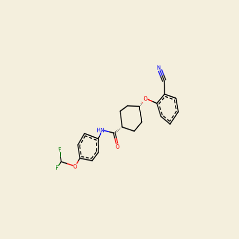 N#Cc1ccccc1O[C@H]1CC[C@@H](C(=O)Nc2ccc(OC(F)F)cc2)CC1